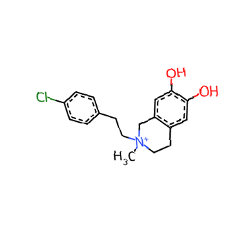 C[N+]1(CCc2ccc(Cl)cc2)CCc2cc(O)c(O)cc2C1